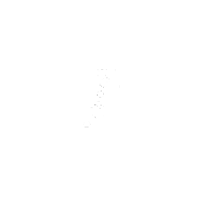 CC(C)(C)OC(=O)NC(C)(C)C(=O)Nc1ccc2c(c1)CC[C@]21OC(=O)N(CC(=O)N2Cc3ccc(F)cc3CC[C@@H]2C2CC2)C1=O